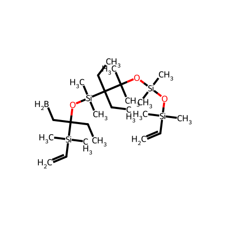 BCC(CC)(O[Si](C)(C)C(CC)(CC)C(C)(C)O[Si](C)(C)O[Si](C)(C)C=C)[Si](C)(C)C=C